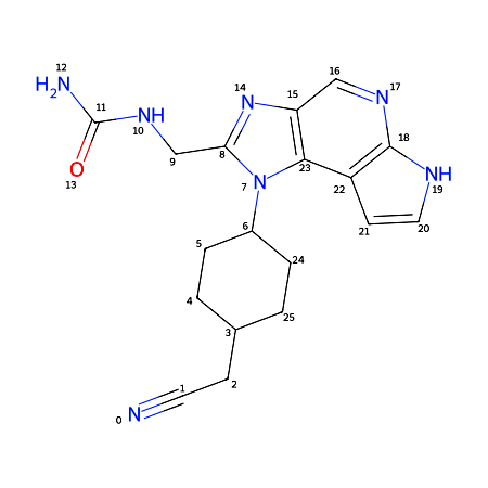 N#CCC1CCC(n2c(CNC(N)=O)nc3cnc4[nH]ccc4c32)CC1